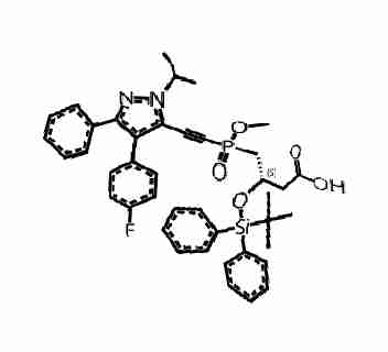 COP(=O)(C#Cc1c(-c2ccc(F)cc2)c(-c2ccccc2)nn1C(C)C)C[C@H](CC(=O)O)O[Si](c1ccccc1)(c1ccccc1)C(C)(C)C